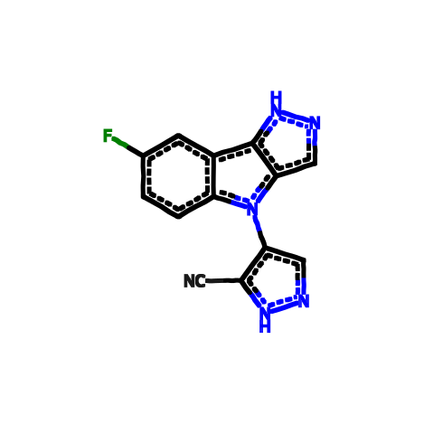 N#Cc1[nH]ncc1-n1c2ccc(F)cc2c2[nH]ncc21